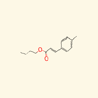 CCCCOC(=O)C=Cc1ccc(C)cc1